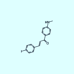 CNc1ccc(C(=O)C=Cc2ccc(I)cc2)cc1